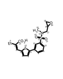 CCC(=Cc1ccc(-c2cccc(S(=O)(=O)N(C)CC3CO3)c2)s1)C(=O)O